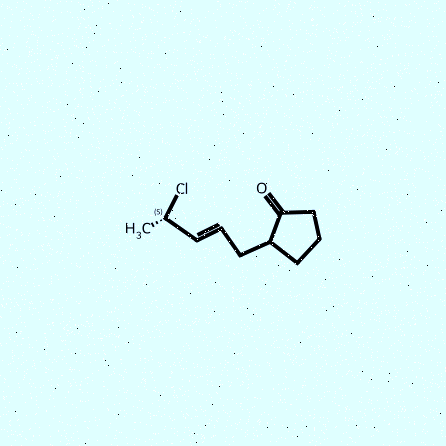 C[C@H](Cl)C=CCC1CCCC1=O